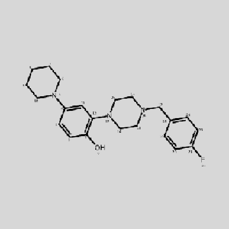 Oc1ccc(N2CCCCC2)cc1N1CCN(Cc2ccc(F)cc2)CC1